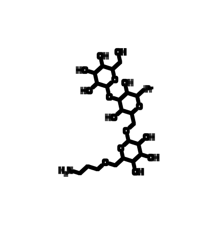 CC(C)C1OC(COC2OC(COCCCN)C(O)C(O)C2O)C(O)C(OC2OC(CO)C(O)C(O)C2O)C1O